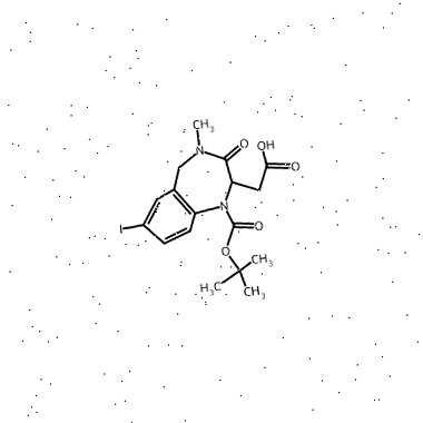 CN1Cc2cc(I)ccc2N(C(=O)OC(C)(C)C)C(CC(=O)O)C1=O